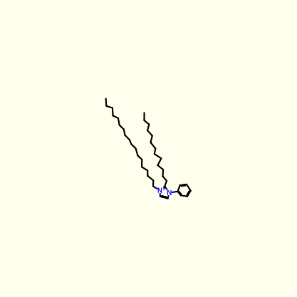 CCCCCCCCCCCCCCCCCC[n+]1ccn(-c2ccccc2)c1CCCCCCCCCCCCC